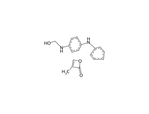 CC1=COC1=O.OCNc1ccc(Nc2ccccc2)cc1